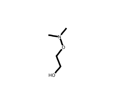 CN(C)OCCO